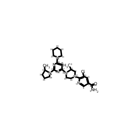 CC1CN(c2ncc(C(N)=O)cc2Cl)CCN1c1cc(N2CCCCC2)nc(N2CCCC2C)n1